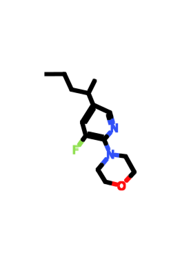 CCCC(C)c1cnc(N2CCOCC2)c(F)c1